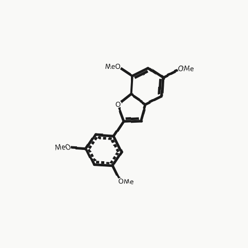 COC1=CC2C=C(c3cc(OC)cc(OC)c3)OC2C(OC)=C1